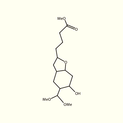 COC(=O)CCCC1CC2CC(C(OC)OC)C(O)CC2O1